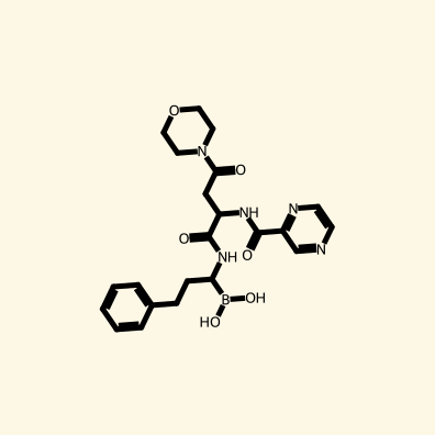 O=C(NC(CC(=O)N1CCOCC1)C(=O)NC(CCc1ccccc1)B(O)O)c1cnccn1